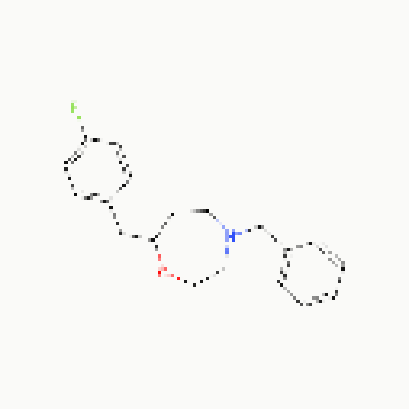 Fc1ccc(CC2CCN(Cc3ccccc3)CCO2)cc1